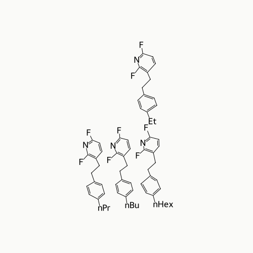 CCCCCCc1ccc(CCc2ccc(F)nc2F)cc1.CCCCc1ccc(CCc2ccc(F)nc2F)cc1.CCCc1ccc(CCc2ccc(F)nc2F)cc1.CCc1ccc(CCc2ccc(F)nc2F)cc1